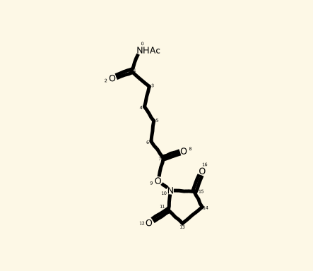 CC(=O)NC(=O)CCCCC(=O)ON1C(=O)CCC1=O